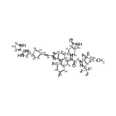 C[C@@H]1C2c3c(C(F)(F)F)nn(CC(=O)N[C@@H](Cc4cc(F)cc(F)c4)c4nc5nc(C#Cc6ccc(-c7c[nH]c([C@@H]8CCCN8)n7)cc6)sc5cc4-c4ccc5c(c4)C(=O)NC5)c3C(F)(F)C21